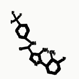 Cc1c(F)cccc1-n1ncc(C(=O)Nc2ccc(C(F)(F)F)cc2)c1N